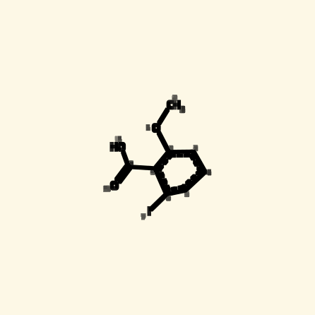 COc1cccc(I)c1C(=O)O